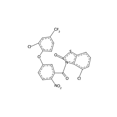 O=C(c1cc(Oc2ccc(C(F)(F)F)cc2Cl)ccc1[N+](=O)[O-])n1c(=O)sc2cccc(Cl)c21